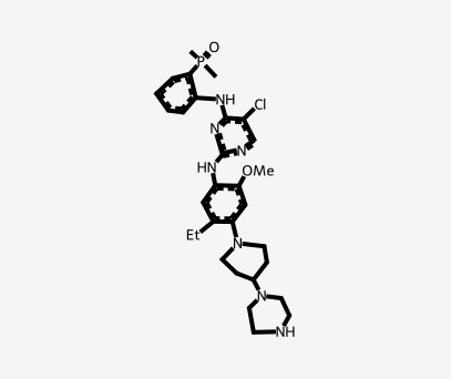 CCc1cc(Nc2ncc(Cl)c(Nc3ccccc3P(C)(C)=O)n2)c(OC)cc1N1CCC(N2CCNCC2)CC1